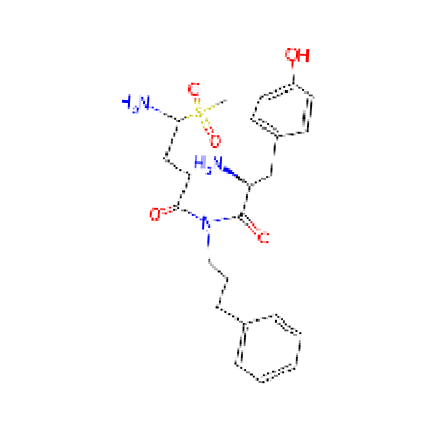 CS(=O)(=O)C(N)CCC(=O)N(CCCc1ccccc1)C(=O)[C@@H](N)Cc1ccc(O)cc1